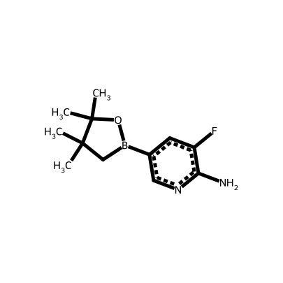 CC1(C)CB(c2cnc(N)c(F)c2)OC1(C)C